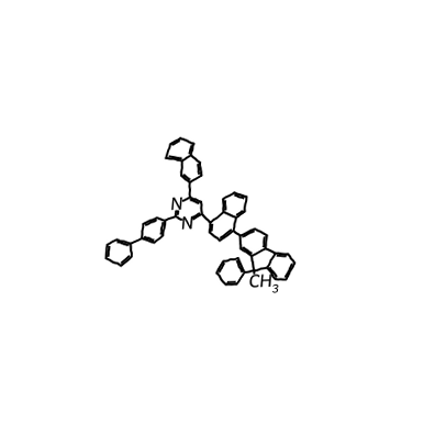 CC1(c2ccccc2)c2ccccc2-c2ccc(-c3ccc(-c4cc(-c5ccc6ccccc6c5)nc(-c5ccc(-c6ccccc6)cc5)n4)c4ccccc34)cc21